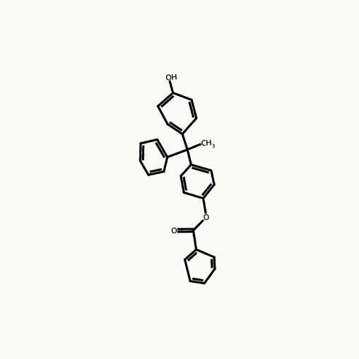 CC(c1ccccc1)(c1ccc(O)cc1)c1ccc(OC(=O)c2ccccc2)cc1